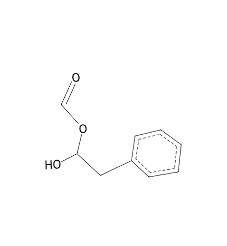 O=COC(O)Cc1ccccc1